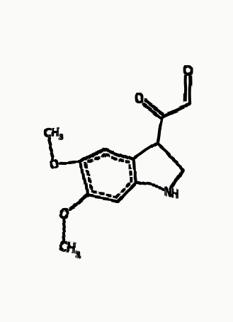 COc1cc2c(cc1OC)C(C(=O)C=O)CN2